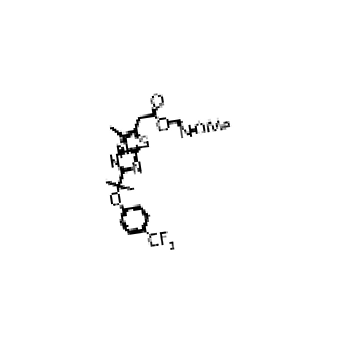 CON=COC(=O)Cc1sc2nc(C(C)(C)Oc3ccc(C(F)(F)F)cc3)nn2c1C